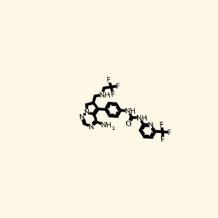 NC1=NC=NN2CC(CNCC(F)(F)F)C(c3ccc(NC(=O)Nc4cccc(C(F)(F)F)n4)cc3)=C12